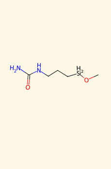 CO[SiH2]CCCNC(N)=O